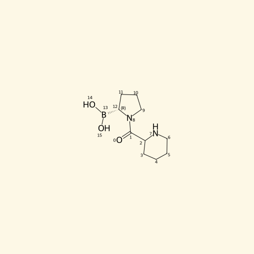 O=C(C1CCCCN1)N1CCC[C@H]1B(O)O